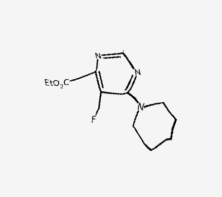 CCOC(=O)c1n[c]nc(N2CCCCC2)c1F